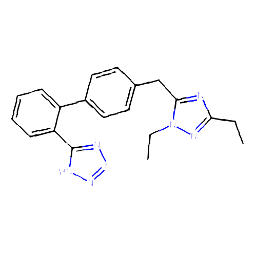 CCc1nc(Cc2ccc(-c3ccccc3-c3nnn[nH]3)cc2)n(CC)n1